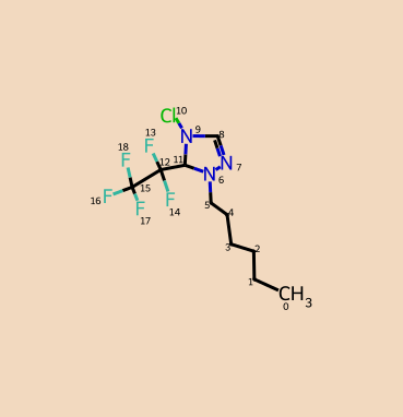 CCCCCCN1N=CN(Cl)C1C(F)(F)C(F)(F)F